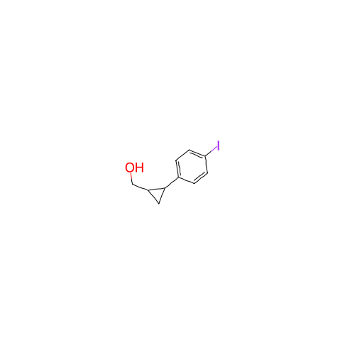 OCC1CC1c1ccc(I)cc1